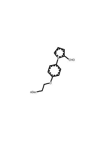 CCCCCCCCCCCCOc1ccc(-n2cccc2C=O)cc1